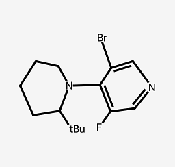 CC(C)(C)C1CCCCN1c1c(F)cncc1Br